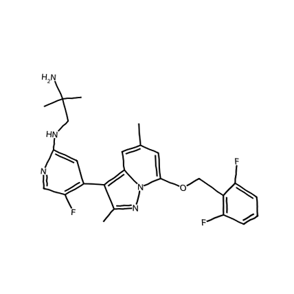 Cc1cc(OCc2c(F)cccc2F)n2nc(C)c(-c3cc(NCC(C)(C)N)ncc3F)c2c1